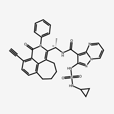 C#Cc1ccc2c3c(c([C@H](C)NC(=O)c4c(NS(=O)(=O)NC5CC5)nn5cccnc45)n(-c4ccccc4)c(=O)c13)CCCC2